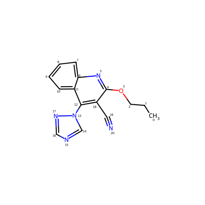 CCCOc1nc2ccccc2c(-n2cncn2)c1C#N